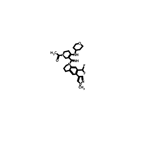 CC(=O)N1CCC(NC2CCOCC2)=C(C(=N)N2CCCc3cc(-c4cnn(C)c4)c(C(F)F)cc32)C1